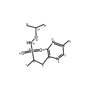 Cc1cnc(CC(C)S(=O)(=O)NOC(C)C)cn1